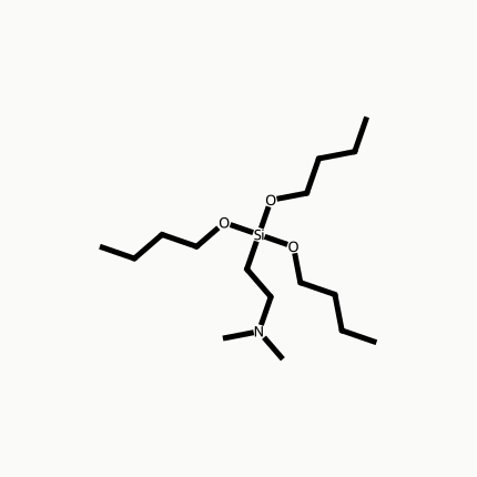 CCCCO[Si](CCN(C)C)(OCCCC)OCCCC